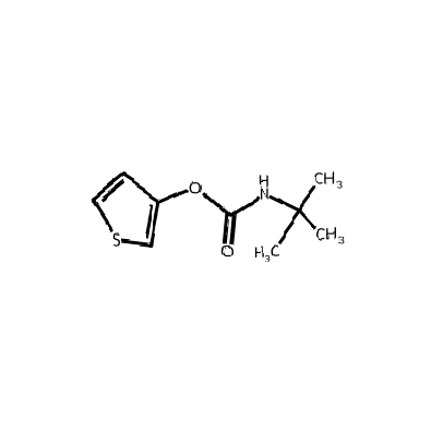 CC(C)(C)NC(=O)Oc1ccsc1